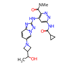 CNC(=O)c1nnc(NC(=O)C2CC2)cc1Nc1nc2ccc(N3CC(C(C)O)C3)cn2n1